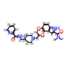 CN(C)C(=O)c1cc2c3c(ccc2[nH]1)OCC(CN1CCC(CNC(=O)c2ccccn2)CC1)O3